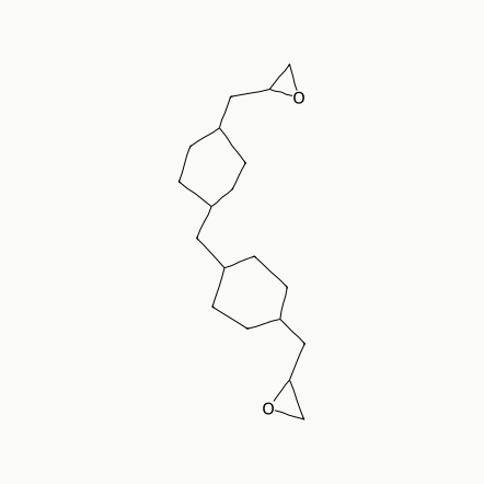 C1CC(CC2CO2)CCC1CC1CCC(CC2CO2)CC1